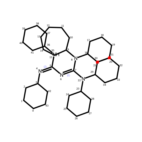 C1CCC(/N=C(\N=C(/N(C2CCCCCC2)C2CCCCC2)N(C2CCCCC2)C2CCCCC2)NC2CCCCC2)CC1